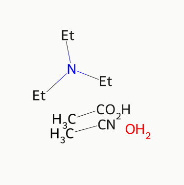 CC#N.CC(=O)O.CCN(CC)CC.O